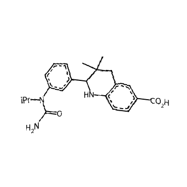 CC(C)N(C(N)=O)c1cccc(C2Nc3ccc(C(=O)O)cc3CC2(C)C)c1